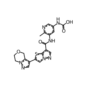 Cc1ncc(NC(=O)O)cc1NC(=O)c1cnn2cc(-c3cnn4c3COCC4)sc12